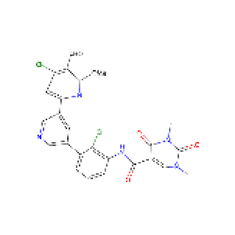 COc1nc(-c2cncc(-c3cccc(NC(=O)c4cn(C)c(=O)n(C)c4=O)c3Cl)c2)cc(Cl)c1C=O